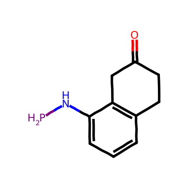 O=C1CCc2cccc(NP)c2C1